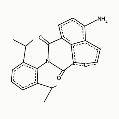 CC(C)c1cccc(C(C)C)c1N1C(=O)c2cccc3c(N)ccc(c23)C1=O